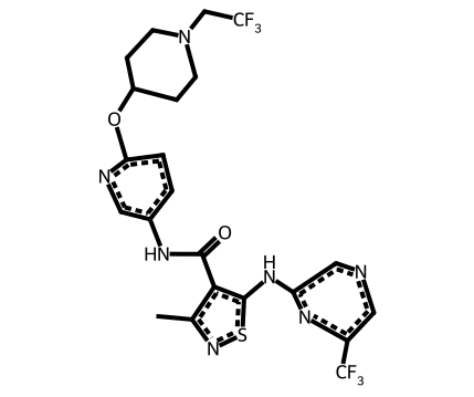 Cc1nsc(Nc2cncc(C(F)(F)F)n2)c1C(=O)Nc1ccc(OC2CCN(CC(F)(F)F)CC2)nc1